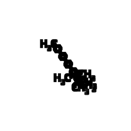 CCc1cc(-c2ccc(-c3ccc(C4CCC(C)CC4)cc3)cc2)cc(CC)c1OCC(CC)(CC)CC